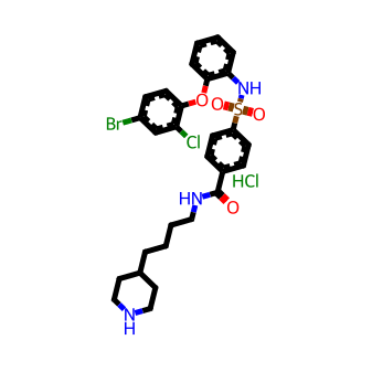 Cl.O=C(NCCCCC1CCNCC1)c1ccc(S(=O)(=O)Nc2ccccc2Oc2ccc(Br)cc2Cl)cc1